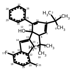 CC(C)(C)C1=CC(C(C)(C)C)C(O)(C2=Cc3c(F)ccc(F)c3C2)C(c2ccccc2)=C1